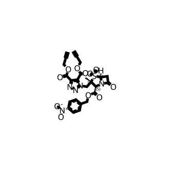 C#CCOC(=O)c1nnn(C[C@@]2(C)[C@H](C(=O)OCc3ccc([N+](=O)[O-])cc3)N3C(=O)C[C@@H]3S2(=O)=O)c1C(=O)OCC#C